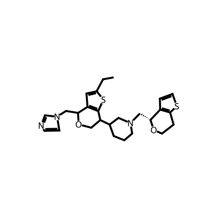 CCc1cc2c(s1)C(C1CCCN(C[C@H]3OCCc4sccc43)C1)COC2Cn1ccnc1